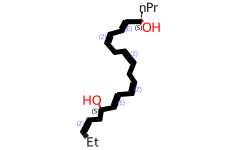 CC/C=C\C[C@H](O)/C=C/C=C\C/C=C\C/C=C\C=C\[C@@H](O)CCC